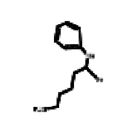 CCCCCCCCCCCCC(CC)Nc1ccccc1